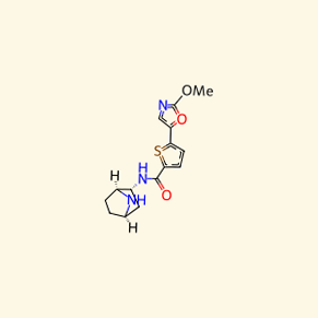 COc1ncc(-c2ccc(C(=O)N[C@@H]3C[C@H]4CC[C@@H]3N4)s2)o1